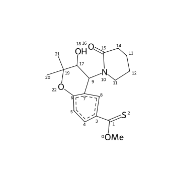 COC(=S)c1ccc2c(c1)C(N1CCCCC1=O)C(O)C(C)(C)O2